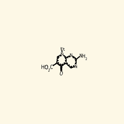 CCn1cc(C(=O)O)c(=O)c2cnc(N)nc21